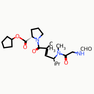 C/C(=C\[C@H](C(C)C)N(C)C(=O)CNC=O)C(=O)N1CCC[C@H]1C(=O)OC1CCCC1